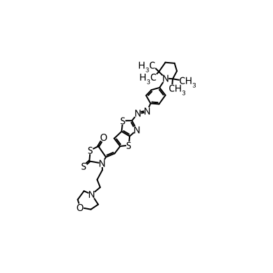 CC1(C)CCCC(C)(C)N1c1ccc(/N=N/c2nc3sc(/C=C4\C(=O)SC(=S)N4CCCN4CCOCC4)cc3s2)cc1